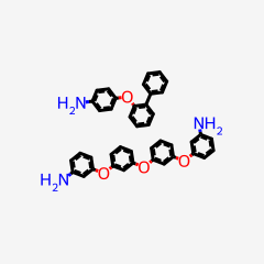 Nc1ccc(Oc2ccccc2-c2ccccc2)cc1.Nc1cccc(Oc2cccc(Oc3cccc(Oc4cccc(N)c4)c3)c2)c1